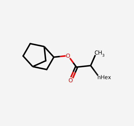 CCCCCCC(C)C(=O)OC1CC2CCC1C2